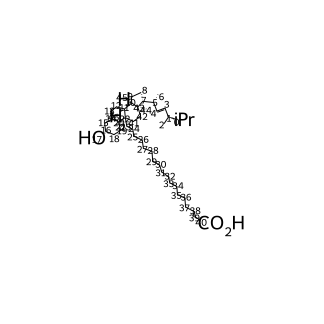 CC(C)[C@@H](C)C=C[C@@H](C)[C@H]1CC[C@H]2[C@@H]3CC=C4CC(O)CC[C@]4(C)C3(CCCCCCCCCCCCCCCC=CC(=O)O)CC[C@]12C